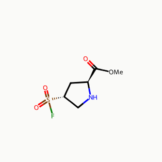 COC(=O)[C@@H]1C[C@@H](S(=O)(=O)F)CN1